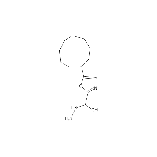 NNC(O)c1ncc(C2CCCCCCCC2)o1